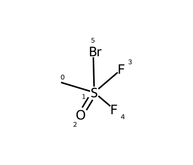 CS(=O)(F)(F)Br